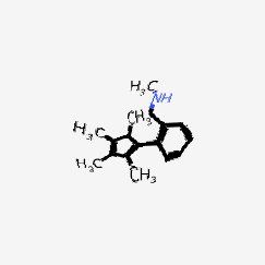 CNCc1[c]cccc1C1=C(C)C(C)=C(C)C1C